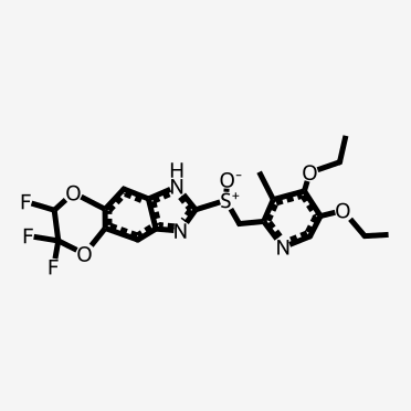 CCOc1cnc(C[S+]([O-])c2nc3cc4c(cc3[nH]2)OC(F)C(F)(F)O4)c(C)c1OCC